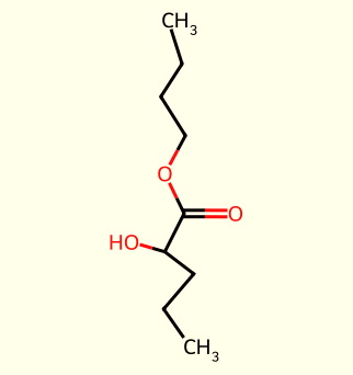 CCCCOC(=O)C(O)CCC